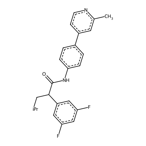 Cc1cc(-c2ccc(NC(=O)C(CC(C)C)c3cc(F)cc(F)c3)cc2)ccn1